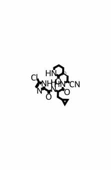 N#CC(C[C@@H]1CCCNC1=O)NC(=O)C(CC1CC1)NC(=O)c1ncc(Cl)[nH]1